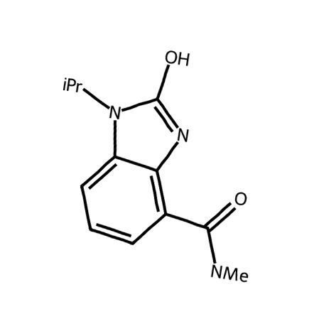 CNC(=O)c1cccc2c1nc(O)n2C(C)C